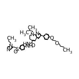 CCCCOCCOc1ccc(-c2cnc3c(c2)C=C(C(=O)NNc2ccc([S+]([O-])Cc4cncn4CCC)cc2)CCN3CC(C)C)cc1